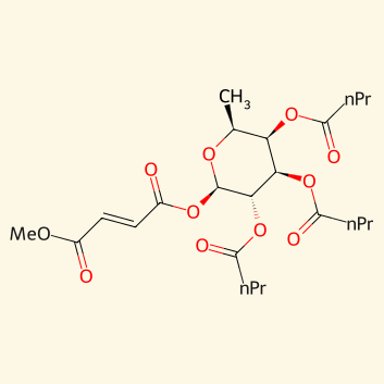 CCCC(=O)O[C@H]1[C@H](OC(=O)CCC)[C@@H](OC(=O)/C=C/C(=O)OC)O[C@@H](C)[C@H]1OC(=O)CCC